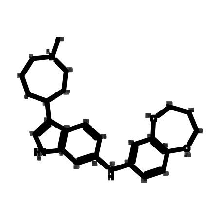 CN1CCCC(c2c[nH]c3cc(Nc4ccc5c(c4)OCCCO5)ccc23)CC1